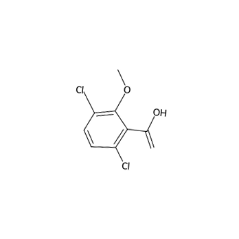 C=C(O)c1c(Cl)ccc(Cl)c1OC